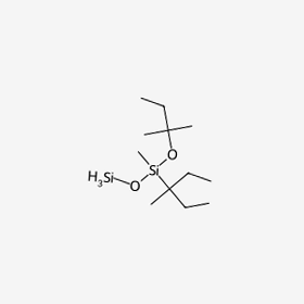 CCC(C)(C)O[Si](C)(O[SiH3])C(C)(CC)CC